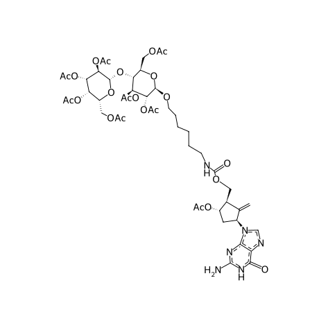 C=C1[C@H](COC(=O)NCCCCCCO[C@@H]2O[C@H](COC(C)=O)[C@@H](O[C@@H]3O[C@H](COC(C)=O)[C@H](OC(C)=O)[C@H](OC(C)=O)[C@H]3OC(C)=O)[C@H](OC(C)=O)[C@H]2OC(C)=O)[C@@H](OC(C)=O)C[C@@H]1n1cnc2c(=O)[nH]c(N)nc21